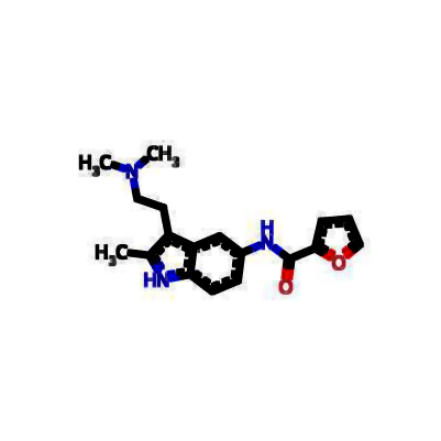 Cc1[nH]c2ccc(NC(=O)c3ccco3)cc2c1CCN(C)C